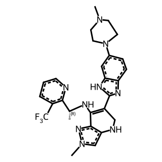 C[C@@H](NC1=C(c2nc3ccc(N4CCN(C)CC4)cc3[nH]2)CNc2cn(C)nc21)c1ncccc1C(F)(F)F